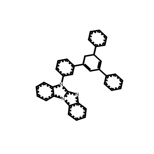 C1=C(c2ccccc2)C=C(c2cccc(-n3c4ccccc4n4c5ccccc5nc34)c2)CC1c1ccccc1